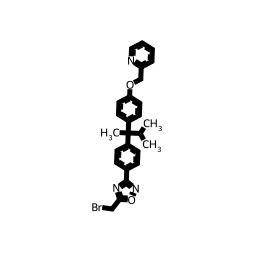 CC(C)C(C)(c1ccc(OCc2ccccn2)cc1)c1ccc(-c2noc(CBr)n2)cc1